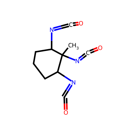 CC1(N=C=O)C(N=C=O)CCCC1N=C=O